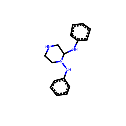 c1ccc(NC2CNCCN2Nc2ccccc2)cc1